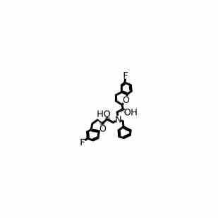 O[C@H](CN(Cc1ccccc1)C[C@@H](O)[C@@H]1CCc2cc(F)ccc2O1)C1CCc2cc(F)ccc2O1